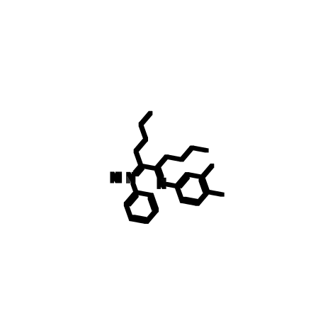 CCCCC(=Nc1ccccc1)C(CCCC)=Nc1ccc(C)c(C)c1.[Ni]